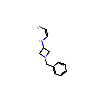 O=[N+]([O-])/C=C\NC1CN(Cc2ccccc2)C1